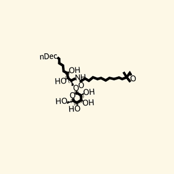 CCCCCCCCCCCCCC[C@@H](O)[C@@H](O)[C@H](CO[C@@H]1O[C@H](CO)[C@H](O)[C@H](O)[C@@H]1O)NC(=O)CCCCCCCCCCC1(C)COC1